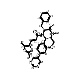 COCCN(C)C(=O)[C@H](Cc1ccccc1)N(Cc1ccc(-c2cncnc2)cc1)C(=O)/C=C/c1sc(C)nc1C